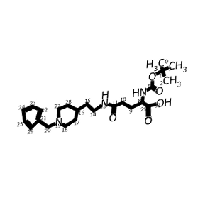 CC(C)(C)OC(=O)NC(CCC(=O)NCCC1CCN(Cc2ccccc2)CC1)C(=O)O